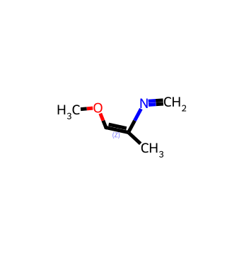 C=N/C(C)=C\OC